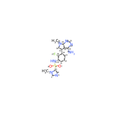 Cn1cncc1S(=O)(=O)Nc1cccc(-c2cn(C)c3ncnc(N)c23)c1F